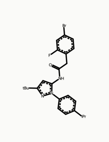 CC(C)c1ccc(-n2nc(C(C)(C)C)cc2NC(=O)Cc2ccc(Br)cc2F)cc1